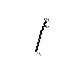 CCCCCCCCCCCCCCC(S)CCC